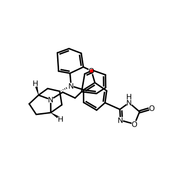 O=c1[nH]c(-c2ccc3c(c2)Oc2ccccc2N3[C@H]2C[C@H]3CC[C@@H](C2)N3CCc2ccccc2)no1